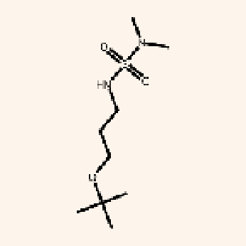 CN(C)S(=O)(=O)NCCCOC(C)(C)C